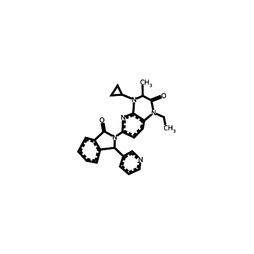 CCN1C(=O)C(C)N(C2CC2)c2nc(N3C(=O)c4ccccc4C3c3cccnc3)ccc21